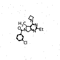 CCc1nc2c(c(N3CCC3)n1)C(C)N(C(=O)c1cccc(Cl)c1)C2